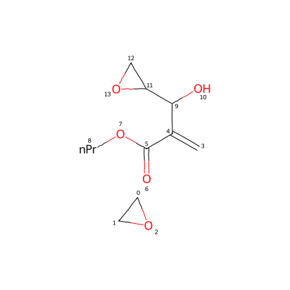 C1CO1.C=C(C(=O)OCCC)C(O)C1CO1